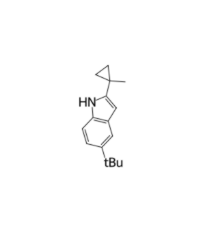 CC(C)(C)c1ccc2[nH]c(C3(C)CC3)cc2c1